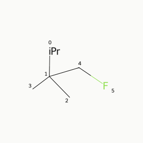 CC(C)C(C)(C)CF